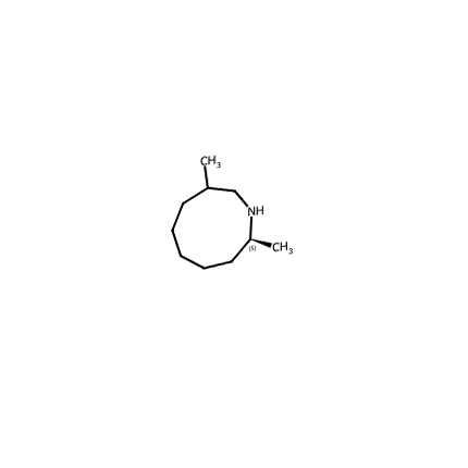 CC1CCCCC[C@H](C)NC1